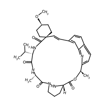 CO[C@H]1CC[C@]2(/C=C/c3ccc4ccc(nc4c3)[C@@H](C)OC(=O)[C@@H]3CCCN(N3)C(=O)[C@H](C)NC(=O)[C@H](C(C)C)NC2=O)CC1